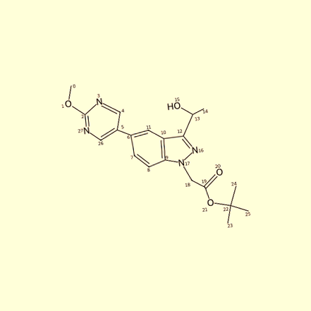 COc1ncc(-c2ccc3c(c2)c(C(C)O)nn3CC(=O)OC(C)(C)C)cn1